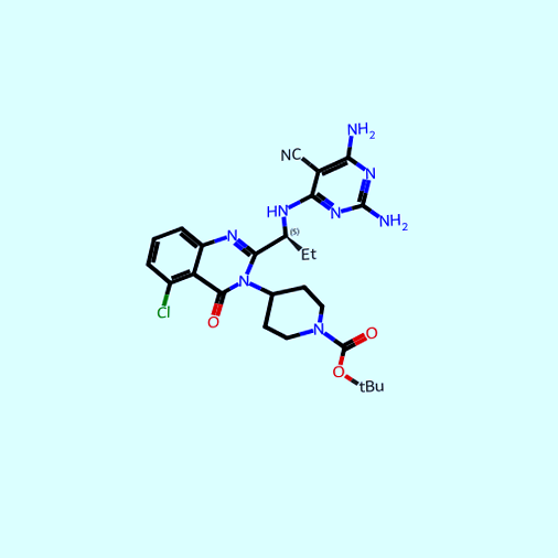 CC[C@H](Nc1nc(N)nc(N)c1C#N)c1nc2cccc(Cl)c2c(=O)n1C1CCN(C(=O)OC(C)(C)C)CC1